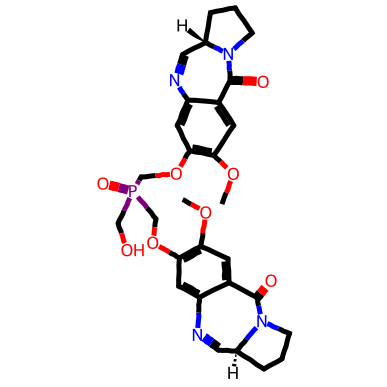 COc1cc2c(cc1OCP(=O)(CO)COc1cc3c(cc1OC)C(=O)N1CCC[C@H]1C=N3)N=C[C@@H]1CCCN1C2=O